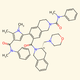 Cc1c(C(=O)N(C)c2ccccc2)cc(-c2cc3c(cc2C(=O)N2Cc4ccccc4C[C@H]2CN2CCOCC2)CN(C(=O)N(C)c2ccccc2)CC3)n1C